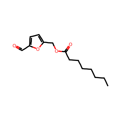 CCCCCCCC(=O)OCc1ccc(C=O)o1